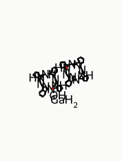 [OH][GaH2].c1ccc2c(c1)-c1nc-2nc2[nH]c(nc3nc(nc4[nH]c(n1)c1ccccc41)-c1ccccc1-3)c1ccccc21.c1ccc2c(c1)-c1nc-2nc2[nH]c(nc3nc(nc4[nH]c(n1)c1ccccc41)-c1ccccc1-3)c1ccccc21